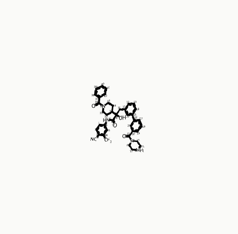 N#Cc1ccc(NC(=O)C(O)(Cc2cccc(-c3cccc(C(=O)N4CCNCC4)c3)c2)C2CCN(C(=O)c3ccccc3)CC2)cc1C(F)(F)F